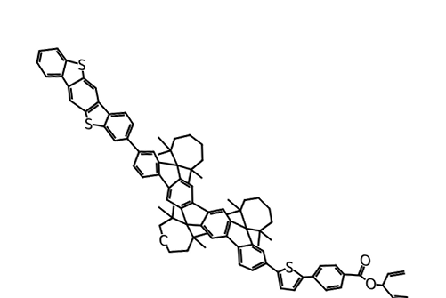 C=CC(C=C)OC(=O)c1ccc(-c2ccc(-c3ccc4c(c3)C3(c5cc6c(cc5-4)C4(c5cc7c(cc5-6)C5(c6cc(-c8ccc9c(c8)sc8cc%10c(cc89)sc8ccccc8%10)ccc6-7)C(C)(C)CCCCC5(C)C)C(C)(C)CCCCC4(C)C)C(C)(C)CCCCC3(C)C)s2)cc1